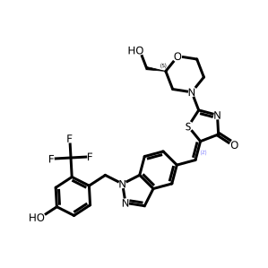 O=C1N=C(N2CCO[C@H](CO)C2)S/C1=C\c1ccc2c(cnn2Cc2ccc(O)cc2C(F)(F)F)c1